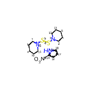 C1CCN(SSN2CCCCC2)CC1.O=[N+]([O-])c1ccc[nH]1